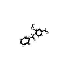 COc1cc(C=O)ccc1OC(=O)c1ccccc1